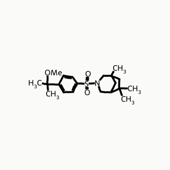 COC(C)(C)c1ccc(S(=O)(=O)N2CC3CC(C)(C2)CC3(C)C)cc1